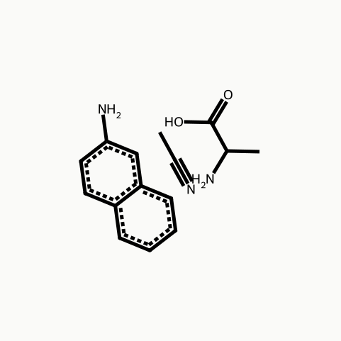 CC#N.CC(N)C(=O)O.Nc1ccc2ccccc2c1